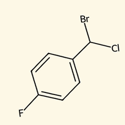 Fc1ccc(C(Cl)Br)cc1